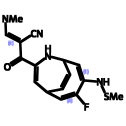 CN/C=C(\C#N)C(=O)C1=CC2C=CC(/C=C(NSC)\C(F)=C/2)N1